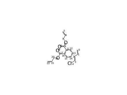 C=CC=CCl.C=CCOC(=O)c1ccccc1C(=O)OCC=C